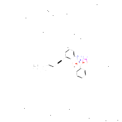 C/C=C/C#Cc1cccc(NS(=O)(=O)c2ccccc2)c1